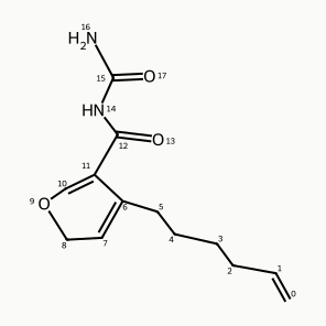 C=CCCCCC1=CCOC=C1C(=O)NC(N)=O